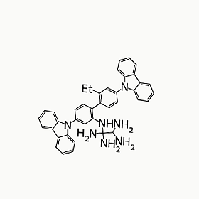 CCc1cc(-n2c3ccccc3c3ccccc32)ccc1-c1ccc(-n2c3ccccc3c3ccccc32)cc1NC(N)(N)C(N)N